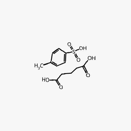 Cc1ccc(S(=O)(=O)O)cc1.O=C(O)CCCC(=O)O